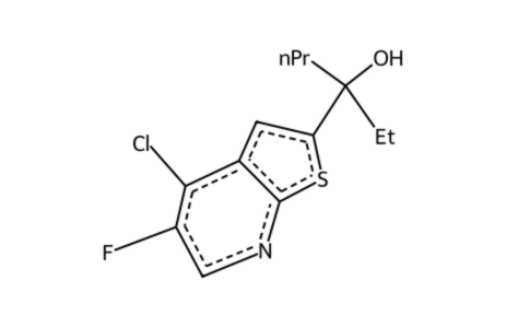 CCCC(O)(CC)c1cc2c(Cl)c(F)cnc2s1